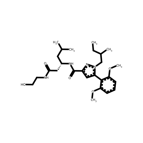 CCC(C)Cn1nc(C(=O)N[C@H](CC(=O)NCCO)CC(C)C)cc1-c1c(OC)cccc1OC